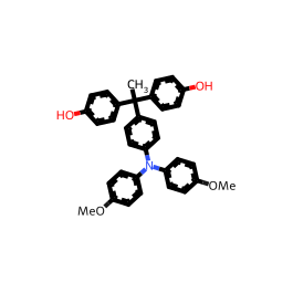 COc1ccc(N(c2ccc(OC)cc2)c2ccc(C(C)(c3ccc(O)cc3)c3ccc(O)cc3)cc2)cc1